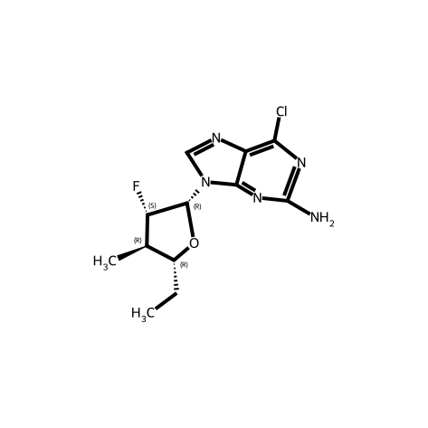 CC[C@H]1O[C@@H](n2cnc3c(Cl)nc(N)nc32)[C@@H](F)[C@@H]1C